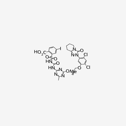 C#CCOc1cc(-n2nc3n(c2=O)CCCC3)c(Cl)cc1Cl.COc1nc(C)nc(NC(=O)NS(=O)(=O)c2cc(I)ccc2C(=O)O)n1